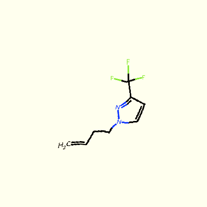 C=CCCn1ccc(C(F)(F)F)n1